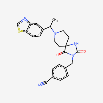 CC(c1ccc2scnc2c1)N1CCC2(CC1)NC(=O)N(Cc1ccc(C#N)cc1)C2=O